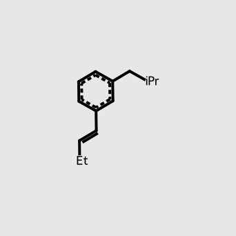 CCC=Cc1cccc(CC(C)C)c1